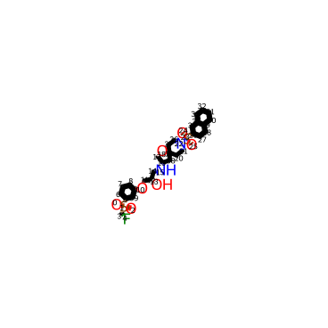 O=S(=O)(CF)c1cccc(OCC(O)CNC2COC3(CCN(S(=O)(=O)c4ccc5ccccc5c4)CC3)C2)c1